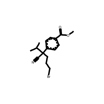 COC(=O)c1ccc(C(C#N)(CCCBr)C(C)C)cc1